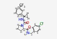 CN(Cc1ccc(Cl)cc1)C(=O)C1CCCN1C(=O)NC1(c2cccc(C(F)(F)F)c2)CC1